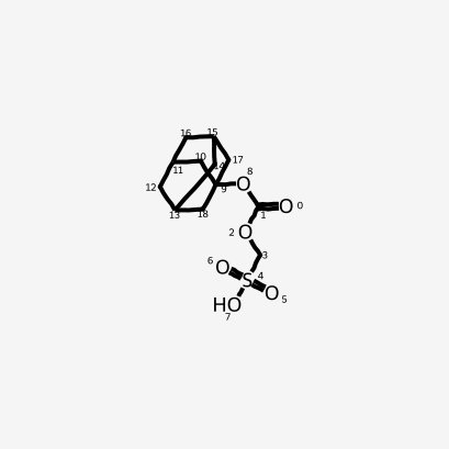 O=C(OCS(=O)(=O)O)OC12CC3CC(CC(C3)C1)C2